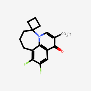 CCOC(=O)c1cn2c3c(c(F)c(F)cc3c1=O)CCCC21CCC1